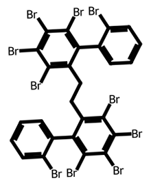 Brc1ccccc1-c1c(Br)c(Br)c(Br)c(Br)c1CCc1c(Br)c(Br)c(Br)c(Br)c1-c1ccccc1Br